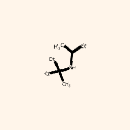 CCC(C)NC(C)([O])CC